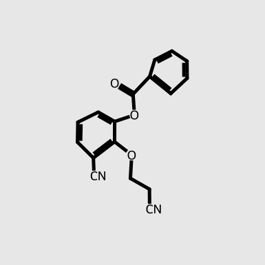 N#CCCOc1c(C#N)cccc1OC(=O)c1ccccc1